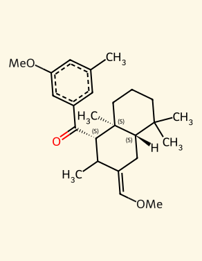 COC=C1C[C@H]2C(C)(C)CCC[C@]2(C)[C@@H](C(=O)c2cc(C)cc(OC)c2)C1C